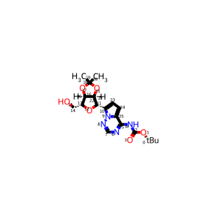 CC(C)(C)OC(=O)Nc1ncnn2c([C@@H]3O[C@H](CO)[C@H]4OC(C)(C)O[C@H]43)ccc12